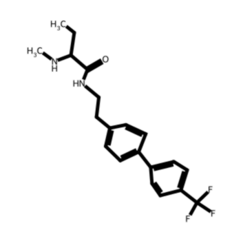 CCC(NC)C(=O)NCCc1ccc(-c2ccc(C(F)(F)F)cc2)cc1